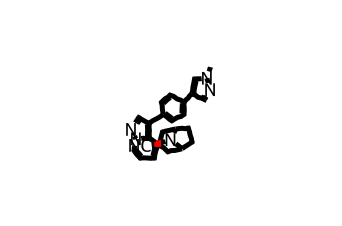 Cn1cc(-c2ccc(-c3cnn4cccc(N5C6CCC5CC(C#N)C6)c34)cc2)cn1